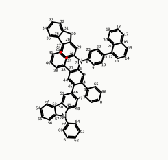 c1ccc(-c2cc(N(c3ccc(-c4cccc5ccccc45)cc3)c3ccc4c(c3)Cc3ccccc3-4)c(-c3ccccc3)cc2-c2ccc3c(c2)c2ccccc2n3-c2ccccc2)cc1